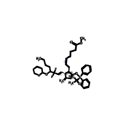 C=C1C[C@H](O[Si](c2ccccc2)(c2ccccc2)C(C)(C)C)[C@H](C/C=C\CCCC(=O)OC)[C@H]1/C=C/C(F)(F)C(CCCC)OC1CCCCO1